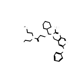 CC(C)(C)CCN(CCNS(=O)(=O)O)C(=O)CC[C@@H](C1CCCCC1)N1Cc2cc(Oc3ccccc3)ncc2N=C1N